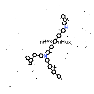 CCCCCCc1cc(-c2ccc(-c3ccc(N(c4ccc(-c5cccc(-c6cc7c(c8ccccc68)CC7)c5)cc4)c4ccc(-c5ccc6c(c5)C(C)(C)c5cc(-c7ccc(C)cc7)ccc5-6)cc4)cc3C)cc2)c(CCCCCC)cc1-c1ccc(-c2ccc(N(C)c3ccc4c(c3)C(C)(C)c3ccccc3-4)cc2C)cc1